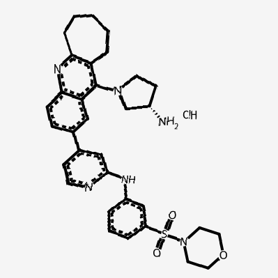 Cl.N[C@H]1CCN(c2c3c(nc4ccc(-c5ccnc(Nc6cccc(S(=O)(=O)N7CCOCC7)c6)c5)cc24)CCCCC3)C1